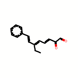 CCC(C=Cc1ccccc1)=CC=CC(=O)C=O